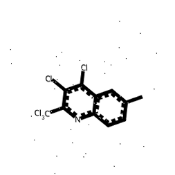 Cc1ccc2nc(C(Cl)(Cl)Cl)c(Cl)c(Cl)c2c1